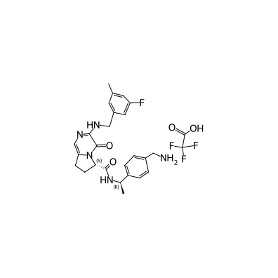 Cc1cc(F)cc(CNc2ncc3n(c2=O)[C@H](C(=O)N[C@H](C)c2ccc(CN)cc2)CC3)c1.O=C(O)C(F)(F)F